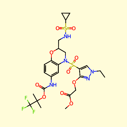 CCn1cc(S(=O)(=O)N2CC(CNS(=O)(=O)C3CC3)Oc3ccc(NC(=O)OC(C)(C)C(F)(F)F)cc32)c(OCC(=O)OC)n1